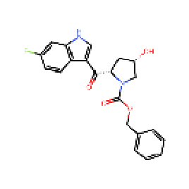 O=C(c1c[nH]c2cc(F)ccc12)[C@@H]1C[C@H](O)CN1C(=O)OCc1ccccc1